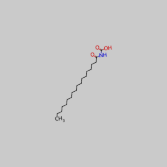 CCCCCCCCCCCCCCCCCC(=O)NC(=O)O